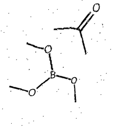 CC(C)=O.COB(OC)OC